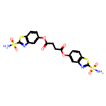 NS(=O)(=O)c1nc2cc(OC(=O)CCC(=O)Oc3ccc4sc(S(N)(=O)=O)nc4c3)ccc2s1